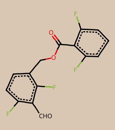 O=Cc1c(F)ccc(COC(=O)c2c(F)cccc2F)c1F